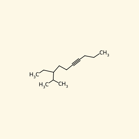 CCCC#CCCC(CC)C(C)C